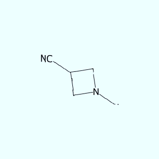 [CH2]N1CC(C#N)C1